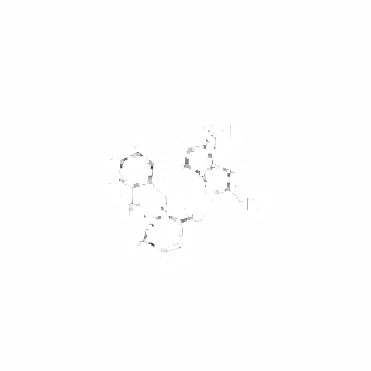 CC(C)c1cc2c(ccn2C)s1.O=c1cccnn1Cc1ccccc1F